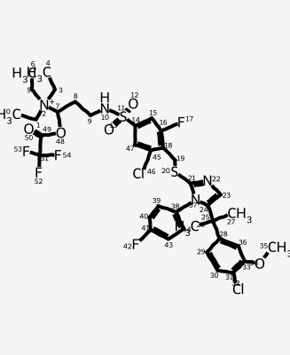 CC[N+](CC)(CC)C(CCNS(=O)(=O)c1cc(F)c(CSc2ncc(C(C)(C)c3ccc(Cl)c(OC)c3)n2-c2ccc(F)cc2)c(Cl)c1)OC(=O)C(F)(F)F